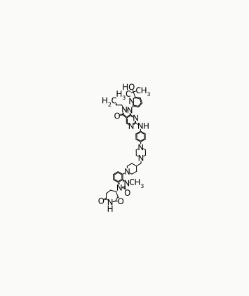 C=CCn1c(=O)c2cnc(Nc3ccc(N4CCN(CC5CCN(c6cccc7c6n(C)c(=O)n7[C@H]6CCC(=O)NC7OC76)CC5)CC4)cc3)nc2n1-c1cccc(C(C)(C)O)n1